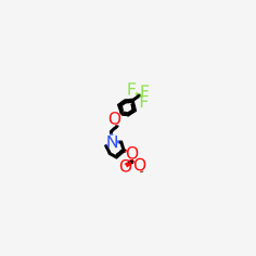 COC(=O)OC1=CCCN(CCOc2ccc(C(F)(F)F)cc2)C1